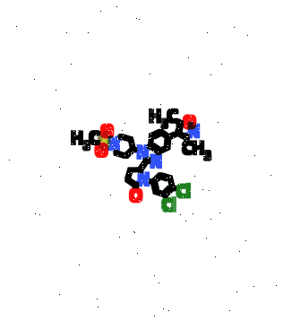 Cc1noc(C)c1-c1ccc2c(c1)nc(C1CCC(=O)N1c1ccc(Cl)c(Cl)c1)n2C1CCN(S(C)(=O)=O)CC1